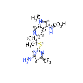 C.CC(Sc1nc(N)cc(C(F)(F)F)n1)c1cc2c(NC(=O)O)cn(C)c2cn1